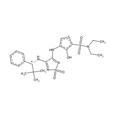 CCN(CC)S(=O)(=O)c1scc(NC2=NS(=O)(=O)N=C2N[C@@H](c2ccccc2)C(C)(C)C)c1O